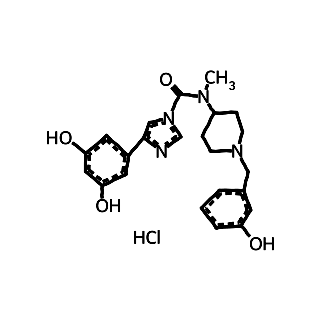 CN(C(=O)n1cnc(-c2cc(O)cc(O)c2)c1)C1CCN(Cc2cccc(O)c2)CC1.Cl